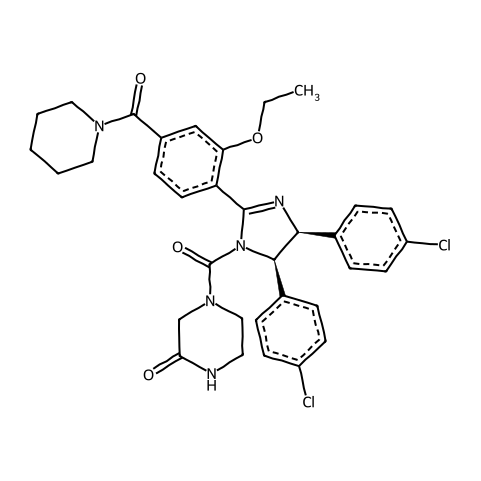 CCOc1cc(C(=O)N2CCCCC2)ccc1C1=N[C@@H](c2ccc(Cl)cc2)[C@@H](c2ccc(Cl)cc2)N1C(=O)N1CCNC(=O)C1